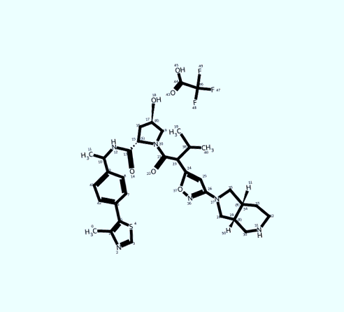 Cc1ncsc1-c1ccc(C(C)NC(=O)[C@@H]2C[C@@H](O)CN2C(=O)C(c2cc(N3C[C@H]4CNCC[C@H]4C3)no2)C(C)C)cc1.O=C(O)C(F)(F)F